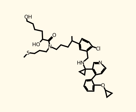 CSCCCN(CCCC(C)c1ccc(Cl)c(CNC2(c3cnccc3-c3ccccc3OC3CC3)CC2)c1)C(=O)C(O)CCCCO